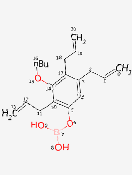 C=CCc1cc(OB(O)O)c(CC=C)c(OCCCC)c1CC=C